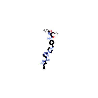 Cc1nc(C(=O)Nc2ccc(CN3CCN(c4nccc(Nc5cc(C6CC6)[nH]n5)n4)CC3)cc2)c(C(F)(F)F)o1